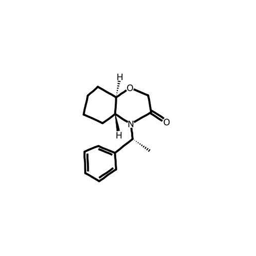 C[C@H](c1ccccc1)N1C(=O)CO[C@@H]2CCCC[C@H]21